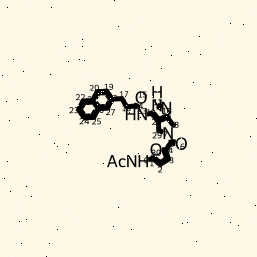 CC(=O)Nc1ccc(C(=O)N2Cc3n[nH]c(NC(=O)CCc4ccc5ccccc5c4)c3C2)o1